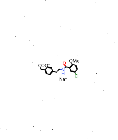 COc1ccc(Cl)cc1C(=O)NCCc1ccc(CC(=O)[O-])cc1.[Na+]